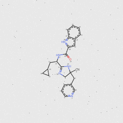 N#CC1(Cc2cccnc2)CN=C(C(CC2CC2)NC(=O)c2cc3ccccc3[nH]2)N1